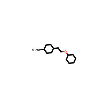 CCCCCC1CCC(CCOC2CCCCC2)CC1